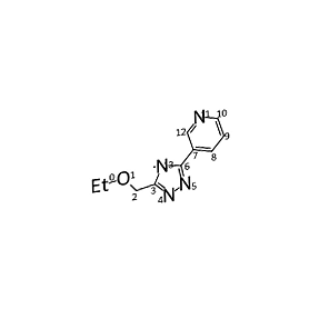 CCOCC1=NN=C(c2cccnc2)[N]1